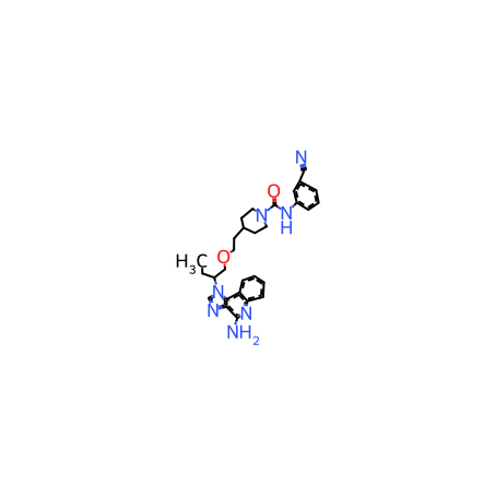 CCC(COCCC1CCN(C(=O)Nc2cccc(C#N)c2)CC1)n1cnc2c(N)nc3ccccc3c21